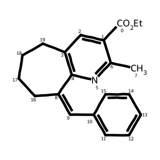 CCOC(=O)c1cc2c(nc1C)/C(=C\c1ccccc1)CCCC2